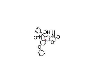 O=C1COc2ccc(C3(O)c4ccccc4C(=O)N3c3cccc(Oc4ccccc4)c3)cc2N1